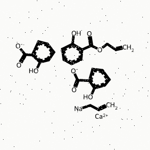 C=CCOC(=O)c1ccccc1O.C=C[CH2][Na].O=C([O-])c1ccccc1O.O=C([O-])c1ccccc1O.[Ca+2]